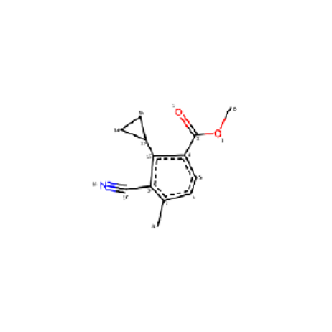 COC(=O)c1ccc(C)c(C#N)c1C1CC1